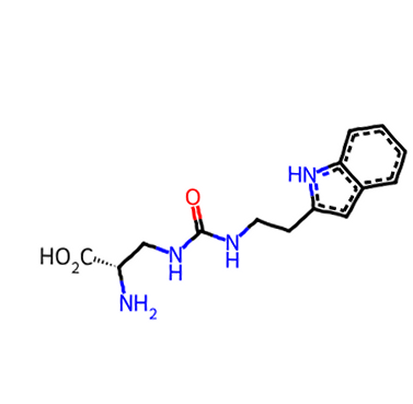 N[C@@H](CNC(=O)NCCc1cc2ccccc2[nH]1)C(=O)O